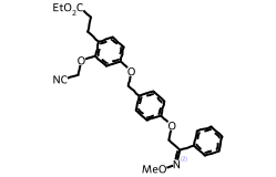 CCOC(=O)CCc1ccc(OCc2ccc(OC/C(=N\OC)c3ccccc3)cc2)cc1OCC#N